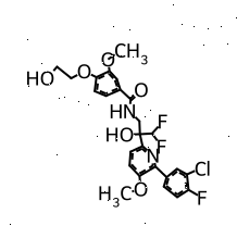 COc1cc(C(=O)NCC(O)(c2ccc(OC)c(-c3ccc(F)c(Cl)c3)n2)C(F)F)ccc1OCCO